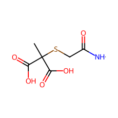 CC(SCC([NH])=O)(C(=O)O)C(=O)O